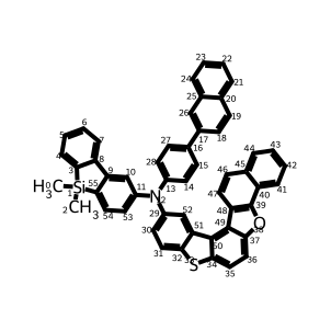 C[Si]1(C)c2ccccc2-c2cc(N(c3ccc(-c4ccc5ccccc5c4)cc3)c3ccc4sc5ccc6oc7c8ccccc8ccc7c6c5c4c3)ccc21